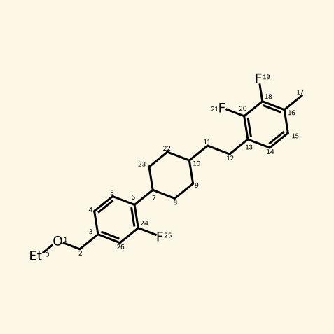 CCOCc1ccc(C2CCC(CCc3ccc(C)c(F)c3F)CC2)c(F)c1